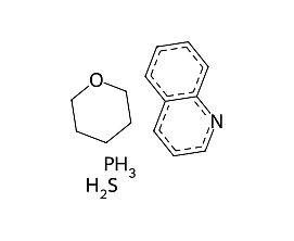 C1CCOCC1.P.S.c1ccc2ncccc2c1